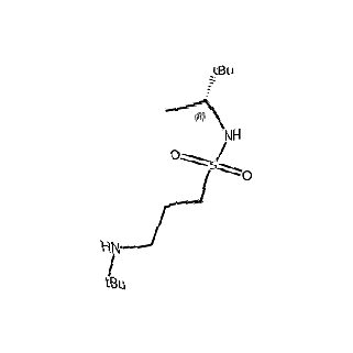 C[C@@H](NS(=O)(=O)CCCNC(C)(C)C)C(C)(C)C